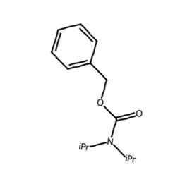 CC(C)N(C(=O)OCc1ccccc1)C(C)C